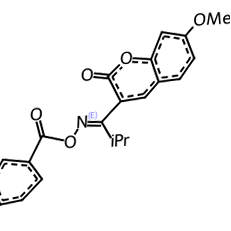 COc1ccc2cc(/C(=N/OC(=O)c3ccccc3)C(C)C)c(=O)oc2c1